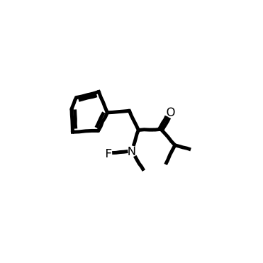 CC(C)C(=O)C(Cc1ccccc1)N(C)F